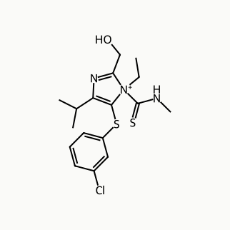 CC[N+]1(C(=S)NC)C(CO)=NC(C(C)C)=C1Sc1cccc(Cl)c1